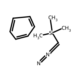 C[Si](C)(C)C=[N+]=[N-].c1ccccc1